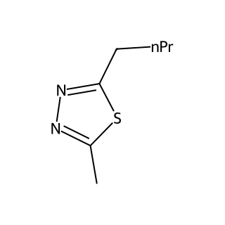 CCCCc1nnc(C)s1